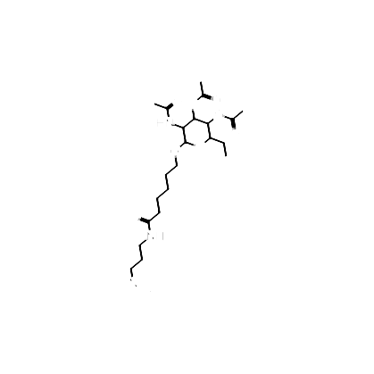 CCC1OC(OCCCCCC(=O)NCCCN)C(NC(C)=O)C(OC(C)=O)C1OC(C)=O